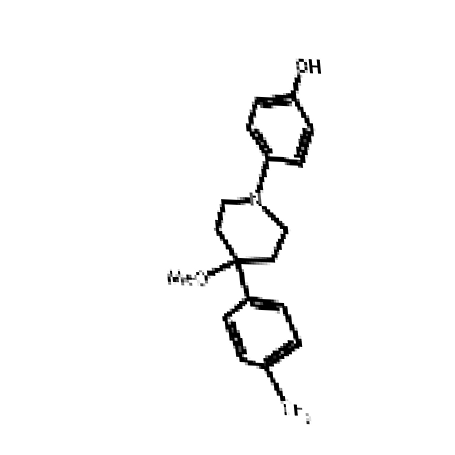 COC1(c2ccc(C(F)(F)F)cc2)CCN(c2ccc(O)cc2)CC1